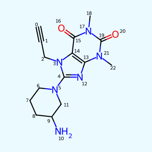 C#CCn1c(N2CCCC(N)C2)nc2c1c(=O)n(C)c(=O)n2C